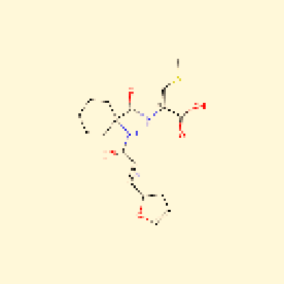 CSC[C@H](NC(=O)C1(NC(=O)/C=C/C2CC=CO2)CCCCC1)C(=O)O